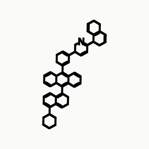 C1=CC2C(C3=CC(C4C=CC(C5CC=CC6=C5C=CCC6)=NC4)=CCC3)=c3ccccc3=C(C3=c4cccc(C5CCCCC5)c4=CCC3)C2C=C1